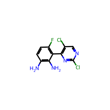 Nc1ccc(F)c(-c2nc(Cl)ncc2Cl)c1N